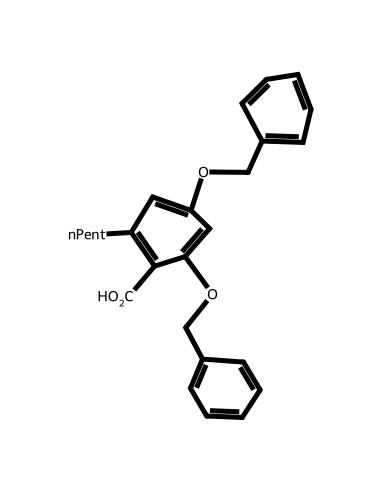 CCCCCc1cc(OCc2ccccc2)cc(OCc2ccccc2)c1C(=O)O